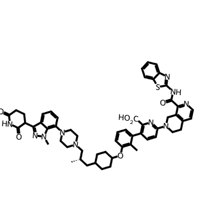 Cc1c(OC2CCC(C[C@H](C)CN3CCN(c4cccc5c(C6CCC(=O)NC6=O)nn(C)c45)CC3)CC2)cccc1-c1ccc(N2CCc3ccnc(C(=O)Nc4nc5ccccc5s4)c3C2)nc1C(=O)O